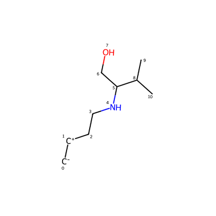 [CH2-][CH+]CCNC(CO)C(C)C